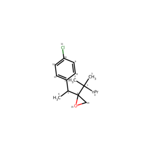 CCCC(C)(C)C1(C(C)c2ccc(Cl)cc2)CO1